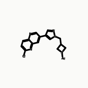 CC(=O)N1CC(Cn2cc(-c3cnc4ccc(Cl)nc4c3)cn2)C1